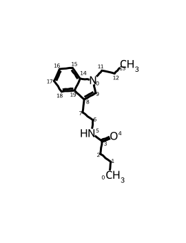 CCCC(=O)NCCc1cn(CCC)c2ccccc12